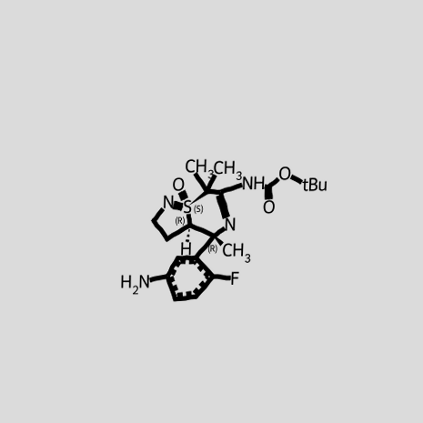 CC(C)(C)OC(=O)NC1=N[C@](C)(c2cc(N)ccc2F)[C@H]2CCN=[S@@]2(=O)C1(C)C